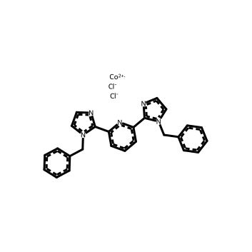 [Cl-].[Cl-].[Co+2].c1ccc(Cn2ccnc2-c2cccc(-c3nccn3Cc3ccccc3)n2)cc1